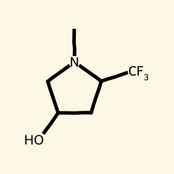 CN1CC(O)CC1C(F)(F)F